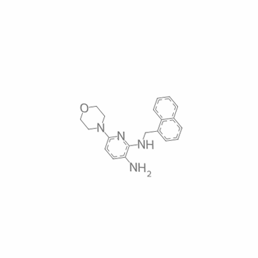 Nc1ccc(N2CCOCC2)nc1NCc1cccc2ccccc12